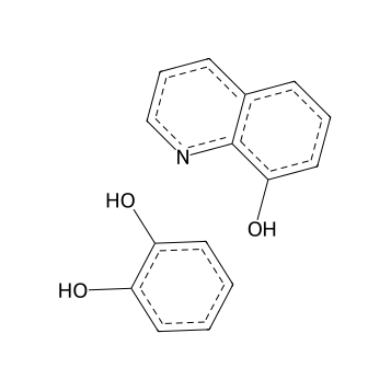 Oc1cccc2cccnc12.Oc1ccccc1O